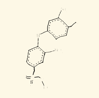 CCOS(=O)(=O)c1ccc(Nc2ccc(C)c(N)c2)c([N+](=O)[O-])c1